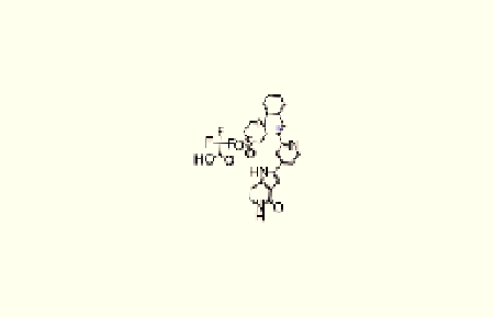 O=C(O)C(F)(F)F.O=C1NCCc2[nH]c(-c3ccnc(/C=C/c4ccccc4N4CCS(=O)(=O)CC4)c3)cc21